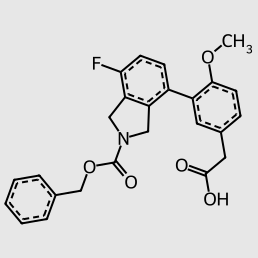 COc1ccc(CC(=O)O)cc1-c1ccc(F)c2c1CN(C(=O)OCc1ccccc1)C2